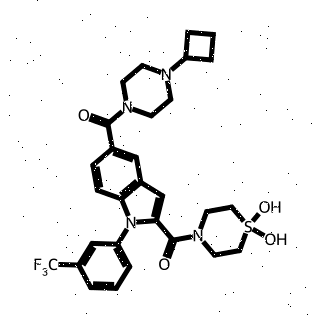 O=C(c1ccc2c(c1)cc(C(=O)N1CCS(O)(O)CC1)n2-c1cccc(C(F)(F)F)c1)N1CCN(C2CCC2)CC1